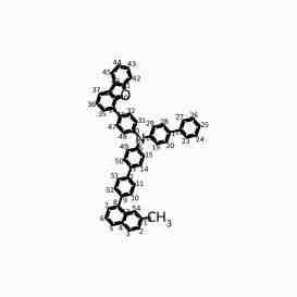 Cc1ccc2cccc(-c3ccc(-c4ccc(N(c5ccc(-c6ccccc6)cc5)c5ccc(-c6cccc7c6oc6ccccc67)cc5)cc4)cc3)c2c1